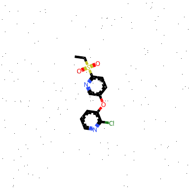 CCS(=O)(=O)c1ccc(Oc2cccnc2Cl)cn1